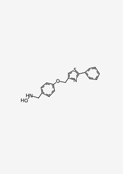 ONCc1ccc(OCc2csc(-c3ccccc3)n2)cc1